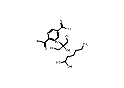 CC(C)(CO)CO.CCCCCC(O)O.O=C(O)c1ccc(C(=O)O)cc1